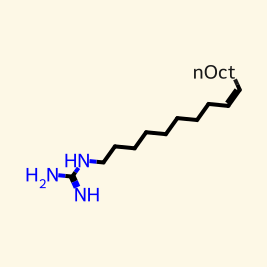 CCCCCCCC/C=C\CCCCCCCCNC(=N)N